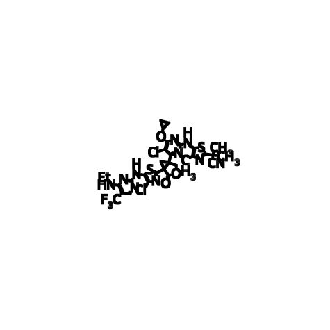 CCNc1nc(Nc2sc(C34CC3(c3nc(Nc5sc(C(C)(C)C#N)nc5C)nc(OC5CC5)c3Cl)COC4=O)nc2Cl)ncc1C(F)(F)F